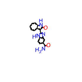 NC(=O)c1ccc2[nH]c(-c3c4cccccc-4[nH]c3=O)nc2c1